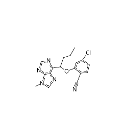 CCCC(Oc1cc(Cl)ccc1C#N)c1ncnc2c1ncn2C